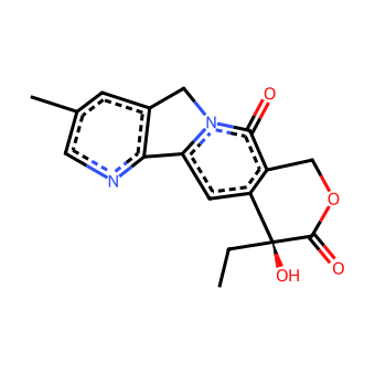 CC[C@@]1(O)C(=O)OCc2c1cc1n(c2=O)Cc2cc(C)cnc2-1